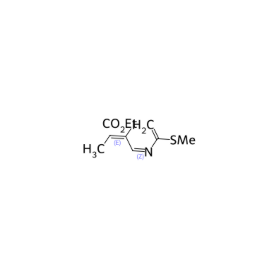 C=C(/N=C\C(=C/C)C(=O)OCC)SC